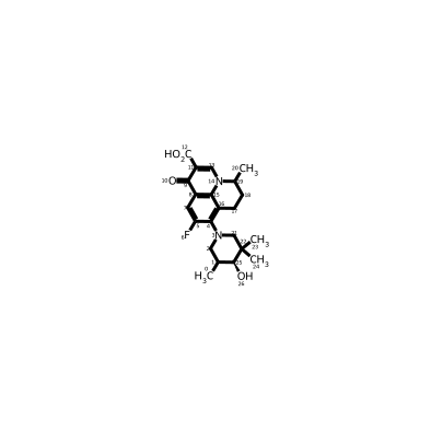 CC1CN(c2c(F)cc3c(=O)c(C(=O)O)cn4c3c2CCC4C)CC(C)(C)[C@H]1O